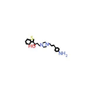 Nc1ccc(C=CCN2CCN(CCC(O)c3csc4ccccc34)CC2)cc1